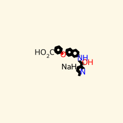 Cc1ccc([C@H](O)CN[C@H]2CCc3ccc(Oc4cccc(C(=O)O)c4)cc3C2)cn1.[NaH]